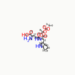 CC(C)OC(=O)OC(C)OC(=O)C(Cc1c[nH]c2ccccc12)NC(=O)CC[C@@H](N)C(=O)O